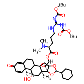 CN(C)[C@@H](CCCN/C(=N/C(=O)OC(C)(C)C)NC(=O)OC(C)(C)C)C(=O)OCC(=O)[C@@]12O[C@H](C3CCCCC3)O[C@@H]1CC1C3CCC4=CC(=O)C=C[C@]4(C)C3[C@@H](O)C[C@@]12C